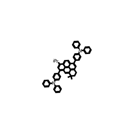 CC(C)c1cc(-c2ccc(N(c3ccccc3)c3ccccc3)cc2)c2cc3c4c(cc(-c5ccc(N(c6ccccc6)c6ccccc6)cc5)c5ccc1c2c54)CCC3(C)C